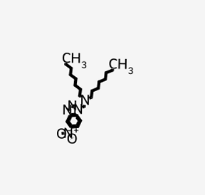 CCCCCCCCN(CCCCCCCC)Cn1nnc2cc([N+](=O)[O-])ccc21